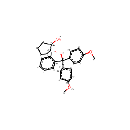 COc1ccc(C(O[C@@H]2CCCC[C@H]2O)(c2ccccc2)c2ccc(OC)cc2)cc1